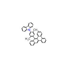 Cc1cc(-n2c3ccccc3c3ccccc32)c(C)cc1-c1c2ccccc2cc2c3ccccc3c3ccccc3c12